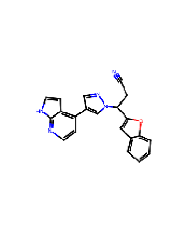 N#CCC(c1cc2ccccc2o1)n1cc(-c2ccnc3[nH]ccc23)cn1